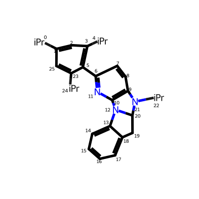 CC(C)c1cc(C(C)C)c(-c2ccc3c(n2)N2c4ccccc4CC2N3C(C)C)c(C(C)C)c1